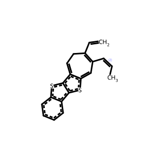 C=CC1=C(/C=C\C)C=c2sc3c(sc4ccccc43)c2=CC1